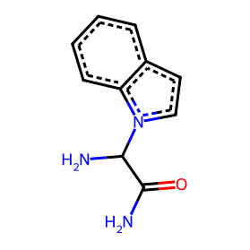 NC(=O)C(N)n1ccc2ccccc21